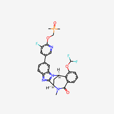 CN1C(=O)c2cccc(OC(F)F)c2[C@H]2C[C@@H]1c1nc3ccc(-c4cnc(OCP(C)(C)=O)c(F)c4)cc3n12